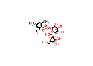 Cc1cc(C)c(S(=O)(=O)OC[C@H]2O[C@H](O[C@]3(CO)O[C@H](CO)[C@@H](O)[C@@H]3O)[C@H](O)[C@@H](O)[C@@H]2O)c(C)c1